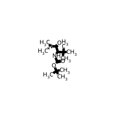 CN(C)C(=O)C(NC(=O)OC(C)(C)C)C(C)(C)C